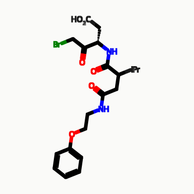 CC(C)C(CC(=O)NCCOc1ccccc1)C(=O)N[C@@H](CC(=O)O)C(=O)CBr